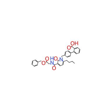 CCCCc1ccc(C(=O)NCC(=O)OCc2ccccc2)c(=O)n1Cc1ccc(-c2ccccc2C(=O)O)cc1